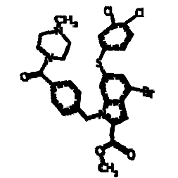 COC(=O)c1cc2c(Br)cc(Sc3ccc(Cl)c(Cl)c3)cc2n1Cc1ccc(C(=O)N2CCN(C)CC2)cc1